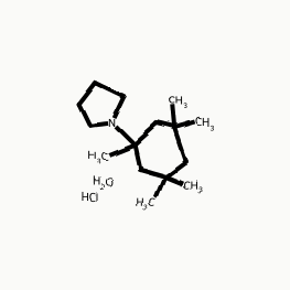 CC1(C)CC(C)(C)CC(C)(N2CCCC2)C1.Cl.O